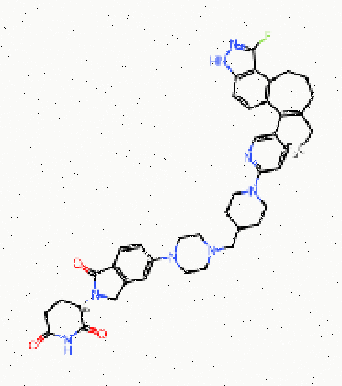 O=C1CC[C@H](N2Cc3cc(N4CCN(CC5CCN(c6ccc(C7=C(CC(F)(F)F)CCCc8c7ccc7[nH]nc(F)c87)cn6)CC5)CC4)ccc3C2=O)C(=O)N1